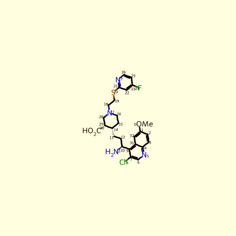 COc1ccc2ncc(Cl)c([C@@H](N)CC[C@H]3CCN(CCSc4cc(F)ccn4)C[C@H]3C(=O)O)c2c1